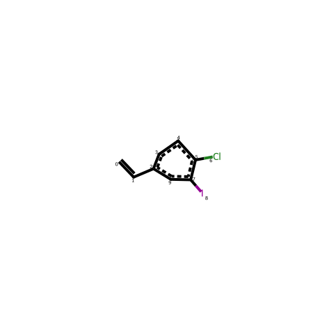 C=Cc1ccc(Cl)c(I)c1